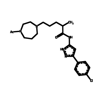 CC(=O)N1CCCN(CCCC(C)C(=O)Nc2cc(-c3ccc(Cl)cc3)n[nH]2)CC1